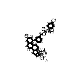 C[C@]12C[C@H](c3ccc(COC(=O)Nc4ccc(Cl)cc4)cc3)C3=C4CCC(=O)C=C4CCC3C1CC[C@@]2(O)C(F)(F)C(F)(F)F